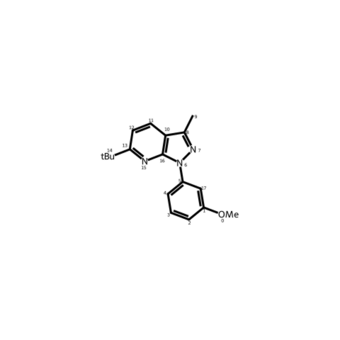 COc1cccc(-n2nc(C)c3ccc(C(C)(C)C)nc32)c1